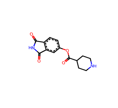 O=C1NC(=O)c2cc(OC(=O)C3CCNCC3)ccc21